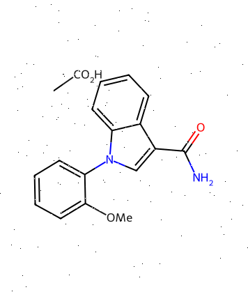 CC(=O)O.COc1ccccc1-n1cc(C(N)=O)c2ccccc21